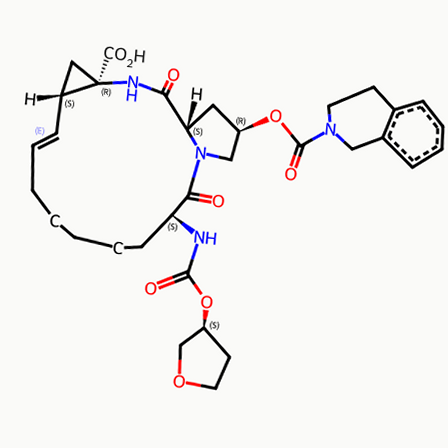 O=C(N[C@H]1CCCCC/C=C/[C@@H]2C[C@@]2(C(=O)O)NC(=O)[C@@H]2C[C@@H](OC(=O)N3CCc4ccccc4C3)CN2C1=O)O[C@H]1CCOC1